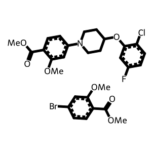 COC(=O)c1ccc(Br)cc1OC.COC(=O)c1ccc(N2CCC(Oc3cc(F)ccc3Cl)CC2)cc1OC